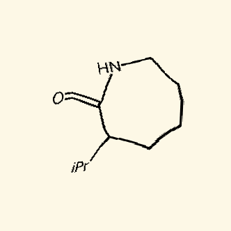 CC(C)C1CCCCNC1=O